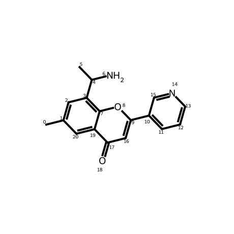 Cc1cc(C(C)N)c2oc(-c3cccnc3)cc(=O)c2c1